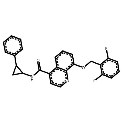 O=C(NC1CC1c1ccccc1)c1ccnc2c(OCc3c(F)cccc3F)cccc12